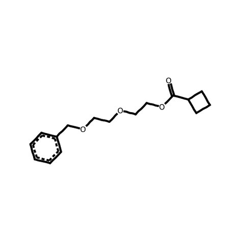 O=C(OCCOCCOCc1ccccc1)C1CCC1